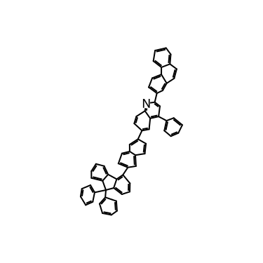 c1ccc(-c2cc(-c3ccc4c(ccc5ccccc54)c3)nc3ccc(-c4ccc5cc(-c6cccc7c6-c6ccccc6C7(c6ccccc6)c6ccccc6)ccc5c4)cc23)cc1